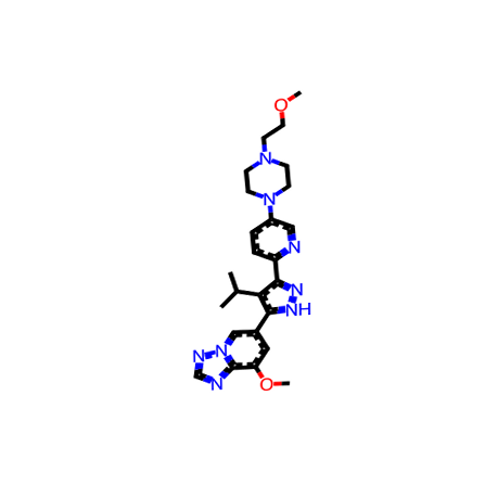 COCCN1CCN(c2ccc(-c3n[nH]c(-c4cc(OC)c5ncnn5c4)c3C(C)C)nc2)CC1